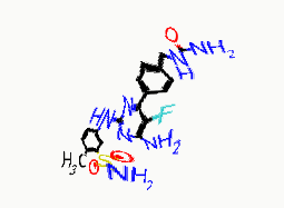 Cc1ccc(Nc2nc(N)c(F)c(-c3ccc(CNC(N)=O)cc3)n2)cc1S(N)(=O)=O